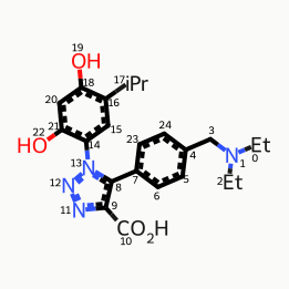 CCN(CC)Cc1ccc(-c2c(C(=O)O)nnn2-c2cc(C(C)C)c(O)cc2O)cc1